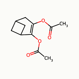 CC(=O)OC1=C(OC(C)=O)C2CC(C1)C2